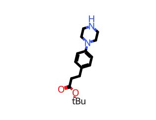 CC(C)(C)OC(=O)CCc1ccc(N2CCNCC2)cc1